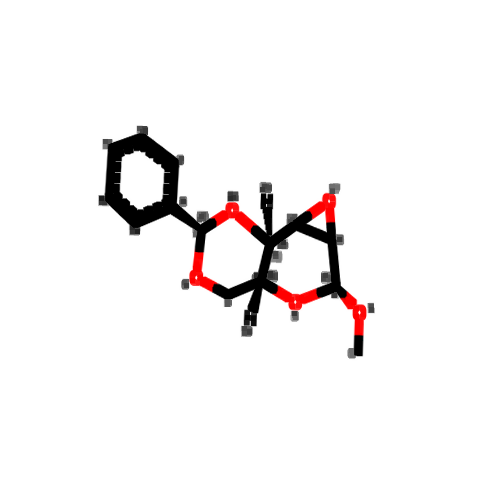 CO[C@H]1O[C@@H]2CO[C@@H](c3ccccc3)O[C@H]2C2OC21